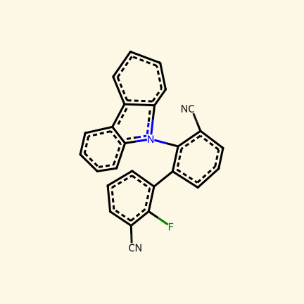 N#Cc1cccc(-c2cccc(C#N)c2-n2c3ccccc3c3ccccc32)c1F